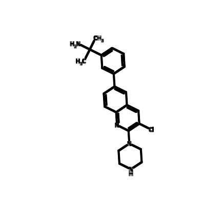 CC(C)(N)c1cccc(-c2ccc3nc(N4CCNCC4)c(Cl)cc3c2)c1